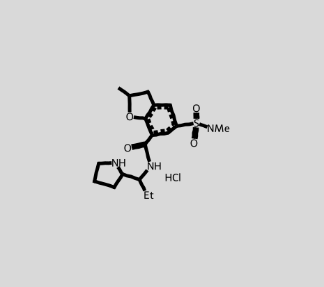 CCC(NC(=O)c1cc(S(=O)(=O)NC)cc2c1OC(C)C2)C1CCCN1.Cl